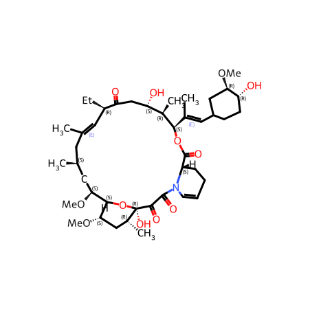 CC[C@@H]1/C=C(\C)C[C@H](C)C[C@H](OC)[C@@H]2O[C@@](O)(C(=O)C(=O)N3C=CCC[C@H]3C(=O)O[C@H](/C(C)=C/C3CC[C@@H](O)[C@H](OC)C3)[C@H](C)[C@@H](O)CC1=O)[C@H](C)C[C@@H]2OC